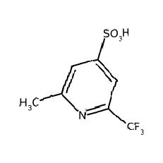 Cc1cc(S(=O)(=O)O)cc(C(F)(F)F)n1